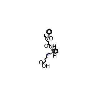 CCN(CCC(=O)NC[C@@H]1[C@@H]2CC[C@@H](C2)[C@@H]1C/C=C\CCCC(=O)O)C(=O)c1ccccc1